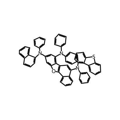 c1ccc(N(c2cc(N(c3ccccc3)c3ccccc3)c3c(c2)oc2c4ccccc4c(N(c4ccccc4)c4cccc5sc6ccccc6c45)cc23)c2cccc3ccccc23)cc1